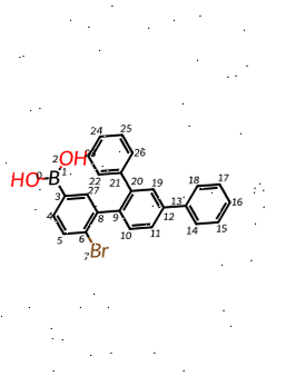 OB(O)c1ccc(Br)c(-c2ccc(-c3ccccc3)cc2-c2ccccc2)c1